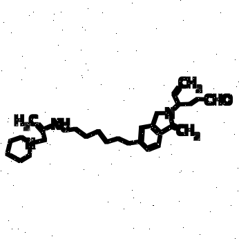 C=CC(CCC=O)N1Cc2cc(CCCCCCCNC(=C)CN3CCCCC3)ccc2C1=C